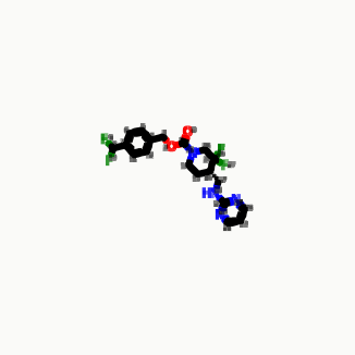 O=C(OCc1ccc(C(F)F)cc1)N1CC[C@@H](CNc2ncccn2)C(F)(F)C1